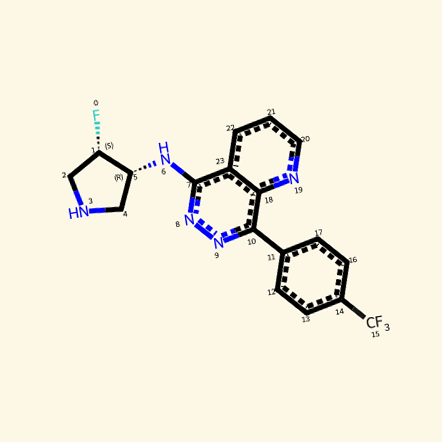 F[C@H]1CNC[C@H]1Nc1nnc(-c2ccc(C(F)(F)F)cc2)c2ncccc12